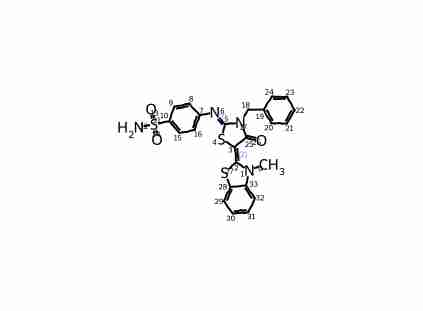 CN1/C(=C2/S/C(=N\c3ccc(S(N)(=O)=O)cc3)N(Cc3ccccc3)C2=O)Sc2ccccc21